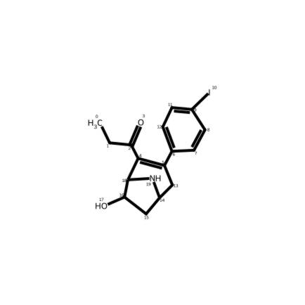 CCC(=O)C1=C(c2ccc(I)cc2)CC2CC(O)C1N2